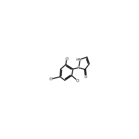 O=c1cc[nH]n1-c1c(Cl)cc(Cl)cc1Cl